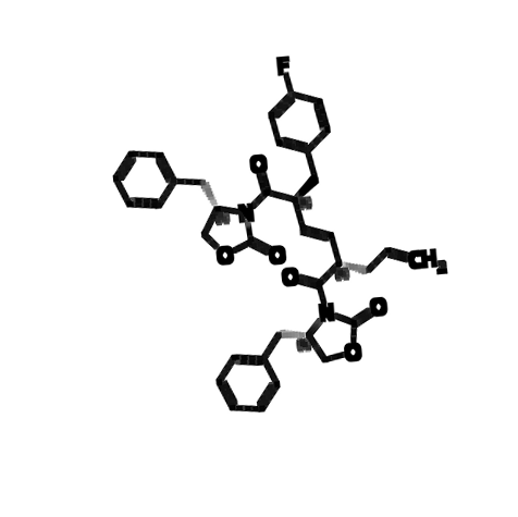 C=CC[C@@H](C=C[C@H](Cc1ccc(F)cc1)C(=O)N1C(=O)OC[C@@H]1Cc1ccccc1)C(=O)N1C(=O)OC[C@@H]1Cc1ccccc1